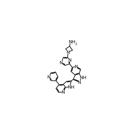 NC1CN(c2cncc(-c3cc4c(-c5cc6c(-c7cccnc7)ccnc6[nH]5)n[nH]c4cn3)n2)C1